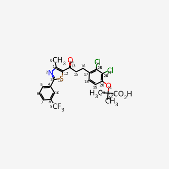 Cc1nc(-c2cccc(C(F)(F)F)c2)sc1C(=O)CCc1ccc(OC(C)(C)C(=O)O)c(Cl)c1Cl